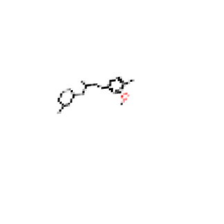 COc1cc(CCC(C)CC2CCCC(C)C2)ccc1C